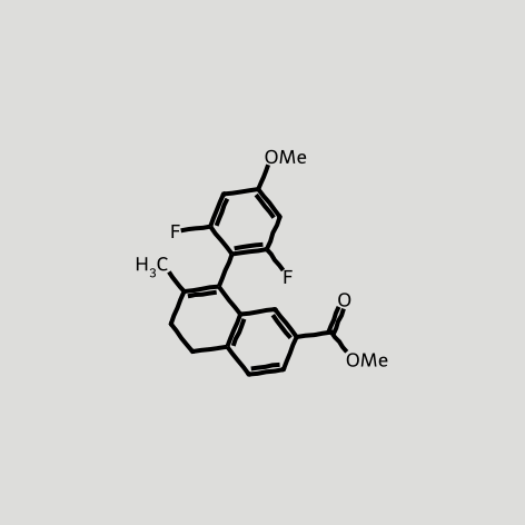 COC(=O)c1ccc2c(c1)C(c1c(F)cc(OC)cc1F)=C(C)CC2